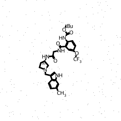 Cc1ccc2c(CN3CC[C@@H](NC(=O)CNC(=O)c4cc(OC(F)(F)F)ccc4NC(=O)OC(C)(C)C)C3)c[nH]c2c1